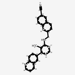 Cc1c(NCc2ccc3cc(C#N)ccc3n2)ncnc1-c1ccc2ncccc2c1